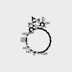 CC(C)C[C@@H](CO)NC(=O)[C@H]1[C@@H]2C[C@@H](O[C@@H]3O[C@H](C)[C@@H](O)[C@H](N)[C@@H]3O)/C=C/C=C/C=C/C=C/C=C/C=C/C=C/[C@H](C)[C@@H](O)[C@@H](C)[C@H](C)OC(=O)C[C@H](O)C[C@H](O)CC[C@@H](O)[C@H](O)C[C@H](O)C[C@](O)(C[C@@H]1O)O2